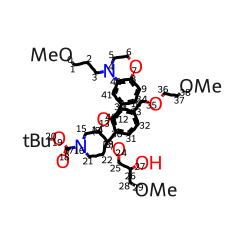 COCCCN1CCOc2ccc(CO[C@H]3CN(C(=O)OC(C)(C)C)CC[C@]3(OCC(O)COC)c3ccc(COCCOC)cc3)cc21